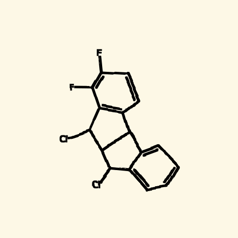 Fc1ccc2c(c1F)C(Cl)C1C(Cl)c3ccccc3C21